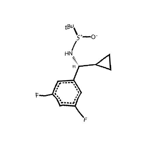 CC(C)(C)[S+]([O-])N[C@@H](c1cc(F)cc(F)c1)C1CC1